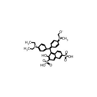 CCN(CC)c1ccc(C(=C2C=CC(=[N+](C)C[O-])C=C2)c2c(O)c(S(=O)(=O)O)cc3cc(S(=O)(=O)O)ccc23)cc1